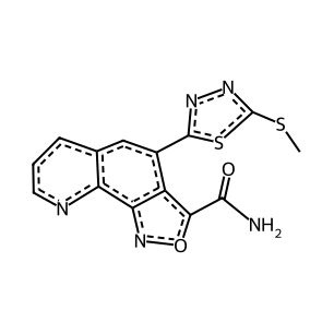 CSc1nnc(-c2cc3cccnc3c3noc(C(N)=O)c23)s1